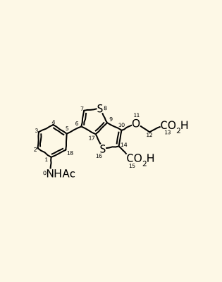 CC(=O)Nc1cccc(-c2csc3c(OCC(=O)O)c(C(=O)O)sc23)c1